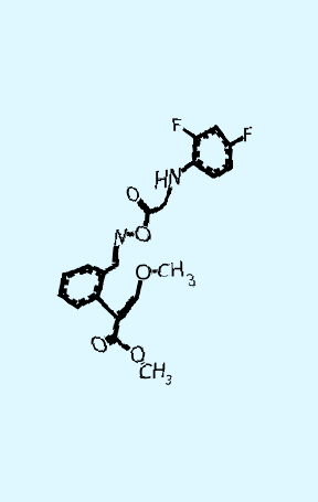 CO/C=C(/C(=O)OC)c1ccccc1C=NOC(=O)CNc1ccc(F)cc1F